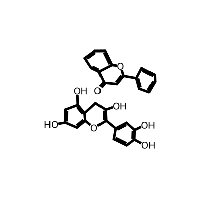 O=c1cc(-c2ccccc2)oc2ccccc12.OC1=C(c2ccc(O)c(O)c2)Oc2cc(O)cc(O)c2C1